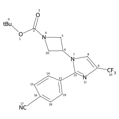 CC(C)(C)OC(=O)N1CC(n2cc(C(F)(F)F)nc2-c2ccc(C#N)cc2)C1